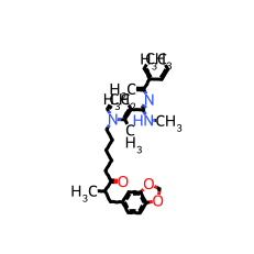 C=CN(CCCCCC(=O)C(C)Cc1ccc2c(c1)OCO2)/C(C)=C(C)/C(=N\C(=C)C(/C=C\C)=C/C)NC